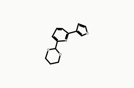 c1cc(-c2ccoc2)nc(C2OCCCO2)c1